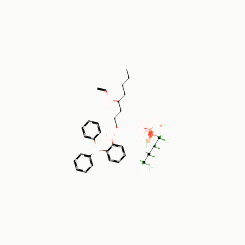 C=COC(CCCC)CCCOc1ccccc1[S+](c1ccccc1)c1ccccc1.O=S(=O)([O-])C(F)(F)C(F)(F)C(F)(F)C(F)(F)F